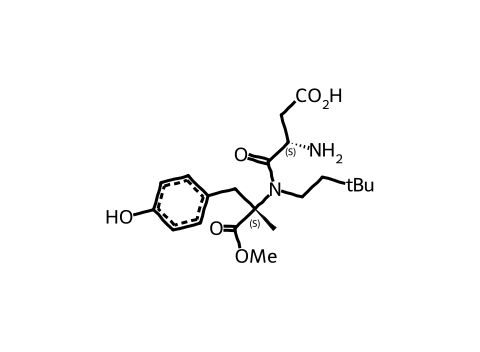 COC(=O)[C@](C)(Cc1ccc(O)cc1)N(CCC(C)(C)C)C(=O)[C@@H](N)CC(=O)O